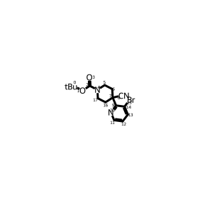 CC(C)(C)OC(=O)N1CCC(C#N)(c2ncccc2Br)CC1